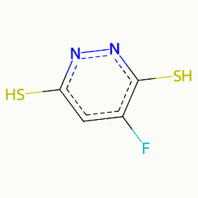 Fc1cc(S)nnc1S